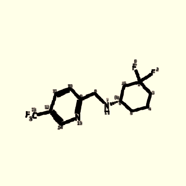 FC1(F)CCC[C@H](NCc2ccc(C(F)(F)F)cn2)C1